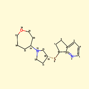 c1cnc2c(c1)CCC2S[C@@H]1CCN(C2CCCOCC2)C1